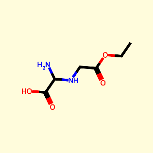 CCOC(=O)CNC(N)C(=O)O